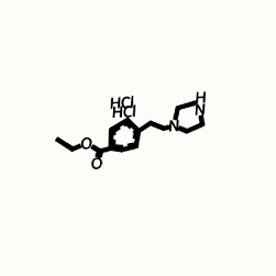 CCOC(=O)c1ccc(CCN2CCNCC2)cc1.Cl.Cl